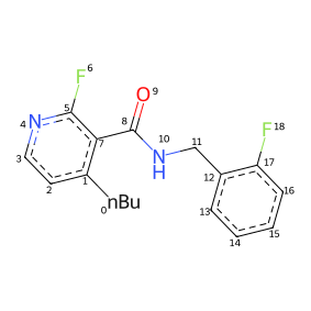 CCCCc1ccnc(F)c1C(=O)NCc1ccccc1F